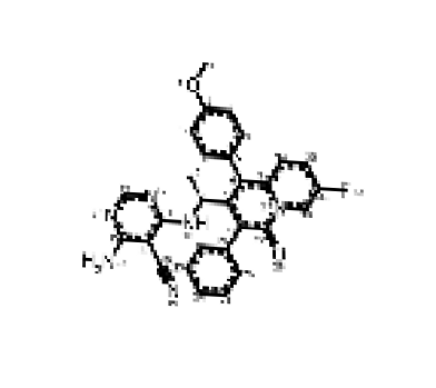 COc1ccc(-c2c([C@H](C)Nc3ncnc(N)c3C#N)c(-c3ccccc3)c(=O)n3cc(F)ccc23)cc1